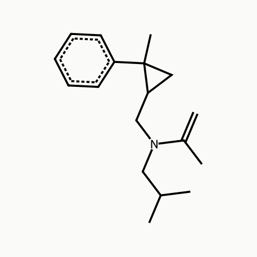 C=C(C)N(CC(C)C)CC1CC1(C)c1ccccc1